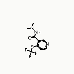 CN(C)NC(=O)c1cnccc1SC(F)(F)F